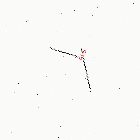 CCCCCCCCCCCCCCCCCCCC(COC(=O)CC)OCCCCCCCCCCCCCCCCCC